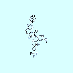 COc1cc(C(=O)NC2(C)CC(C(F)(F)F)C2)c(NC(=O)c2c(OC)ccc3nc(N4C5COCC4C5)sc23)cn1